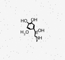 CNC[C@H](O)c1ccc(O)c(O)c1.O